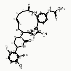 COC(=O)Nc1ccc2c(c1)NC(=O)CC/C=C/CC(N1CCC(c3c(F)ccc(Cl)c3F)NC1=O)c1nc-2c(C#N)[nH]1